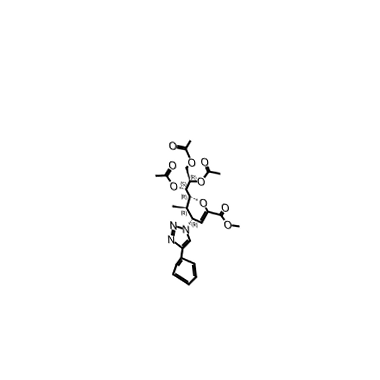 COC(=O)C1=C[C@H](n2cc(-c3ccccc3)nn2)[C@@H](C)[C@H]([C@H](OC(C)=O)[C@@H](COC(C)=O)OC(C)=O)O1